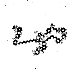 CC(C)S(=O)(=O)c1ccccc1Nc1nc(N[C@@H]2CCCN(CCCCCCCCCCC(=O)N[C@H](C(=O)N3C[C@H](O)C[C@H]3C(=O)N[C@@H](C)c3ccc(-c4scnc4CCC(C)S(=O)(=O)c4ccccc4Nc4nc(N[C@@H]5CCCN(CCCCCCCNC(=O)COc6cccc7c6C(=O)N(C6CCC(=O)NC6=O)C7=O)C5)ncc4Cl)cc3)C(C)(C)C)C2)ncc1Cl